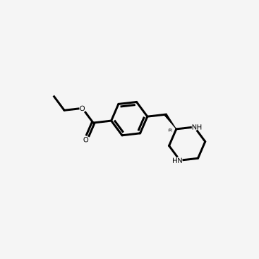 CCOC(=O)c1ccc(C[C@@H]2CNCCN2)cc1